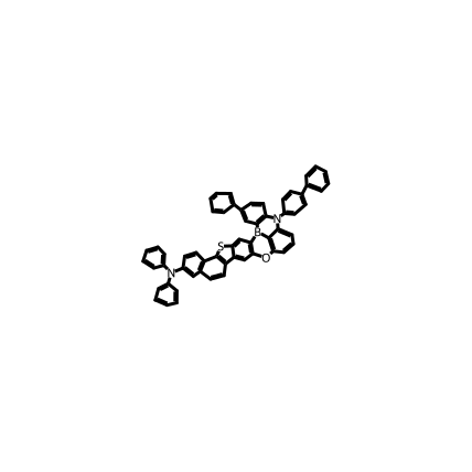 c1ccc(-c2ccc(N3c4ccc(-c5ccccc5)cc4B4c5cc6sc7c8ccc(N(c9ccccc9)c9ccccc9)cc8ccc7c6cc5Oc5cccc3c54)cc2)cc1